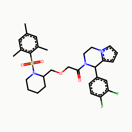 Cc1cc(C)c(S(=O)(=O)N2CCCCC2COCC(=O)N2CCn3cccc3C2c2ccc(F)c(F)c2)c(C)c1